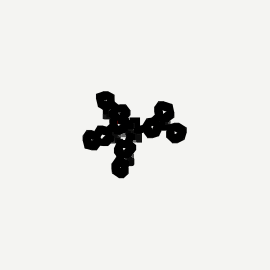 c1ccc(-n2c3ccccc3c3cc(-c4nc(-c5ccc6c(c5)sc5ccccc56)nc(-c5cc6sc7ccccc7c6cc5-n5c6ccccc6c6cc7ccccc7cc65)n4)ccc32)cc1